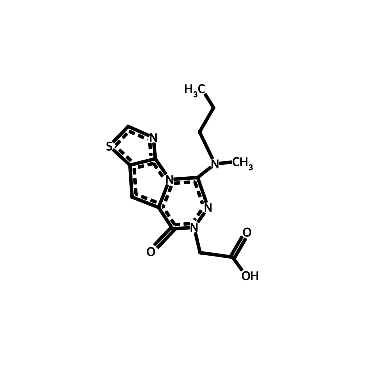 CCCN(C)c1nn(CC(=O)O)c(=O)c2cc3scnc3n12